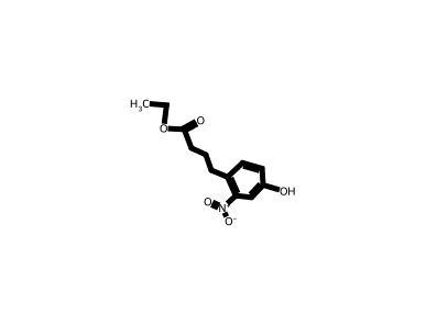 CCOC(=O)CCCc1ccc(O)cc1[N+](=O)[O-]